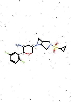 N[C@H]1C[C@@H](N2CC3CN(S(=O)(=O)C4CC4)CC32)CO[C@@H]1c1cc(F)ccc1F